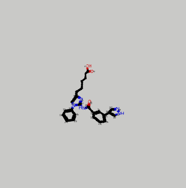 O=C(O)CCCCCc1cn(-c2ccccc2)c(NC(=O)c2cccc(-c3cn[nH]c3)c2)n1